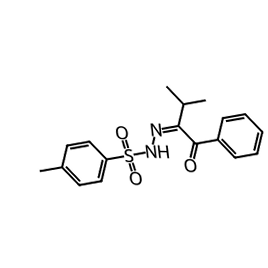 Cc1ccc(S(=O)(=O)NN=C(C(=O)c2ccccc2)C(C)C)cc1